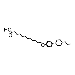 CCC[C@H]1CC[C@H](c2ccc(OCCCCCCCCCCCC(=O)O)cc2)CC1